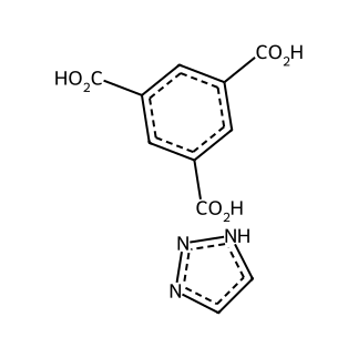 O=C(O)c1cc(C(=O)O)cc(C(=O)O)c1.c1c[nH]nn1